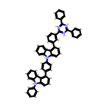 c1ccc(-c2nc(-c3ccccc3)nc(-c3cccc(-c4cccc5c4c4ccccc4n5-c4ccc(-c5cccc6c5c5ccccc5n6-c5ccccc5)cc4)c3)n2)cc1